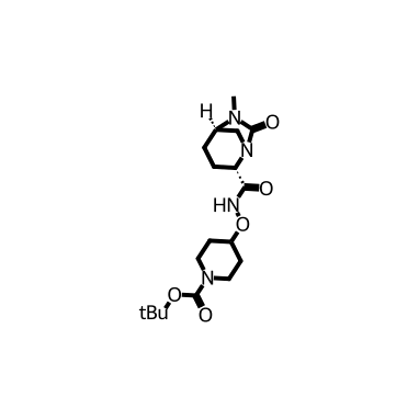 CN1C(=O)N2C[C@H]1CC[C@H]2C(=O)NOC1CCN(C(=O)OC(C)(C)C)CC1